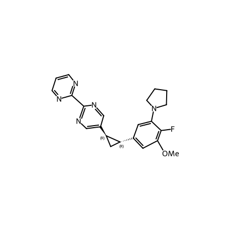 COc1cc([C@@H]2C[C@H]2c2cnc(-c3ncccn3)nc2)cc(N2CCCC2)c1F